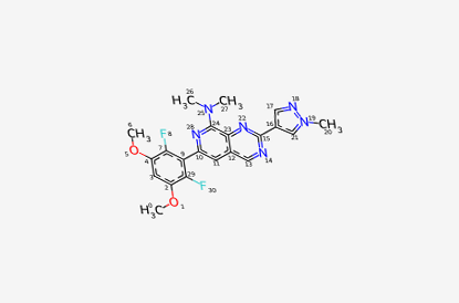 COc1cc(OC)c(F)c(-c2cc3cnc(-c4cnn(C)c4)nc3c(N(C)C)n2)c1F